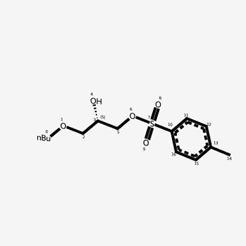 CCCCOC[C@H](O)COS(=O)(=O)c1ccc(C)cc1